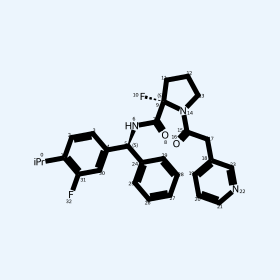 CC(C)c1ccc([C@@H](NC(=O)[C@@]2(F)CCCN2C(=O)Cc2cccnc2)c2ccccc2)cc1F